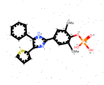 COc1cc(-c2nc(-c3cccs3)c(-c3ccccc3)[nH]2)cc(OC)c1OP(=O)(O)O